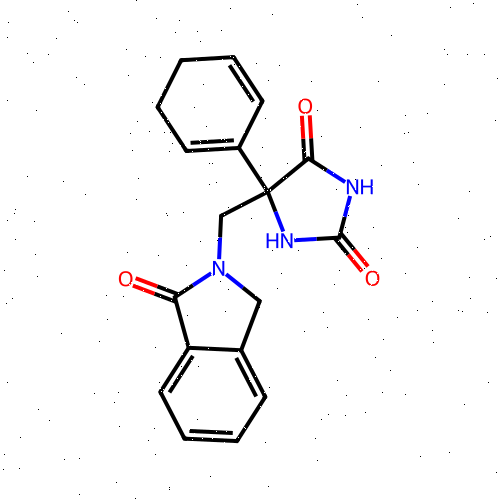 O=C1NC(=O)C(CN2Cc3ccccc3C2=O)(C2=CCCC=C2)N1